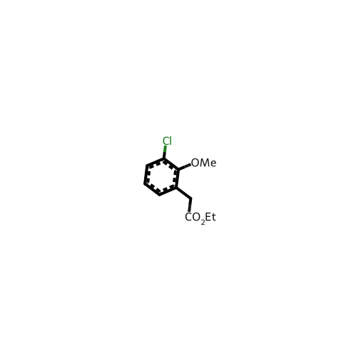 CCOC(=O)Cc1cccc(Cl)c1OC